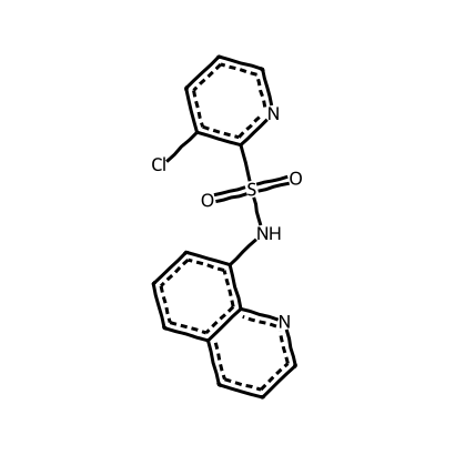 O=S(=O)(Nc1cccc2cccnc12)c1ncccc1Cl